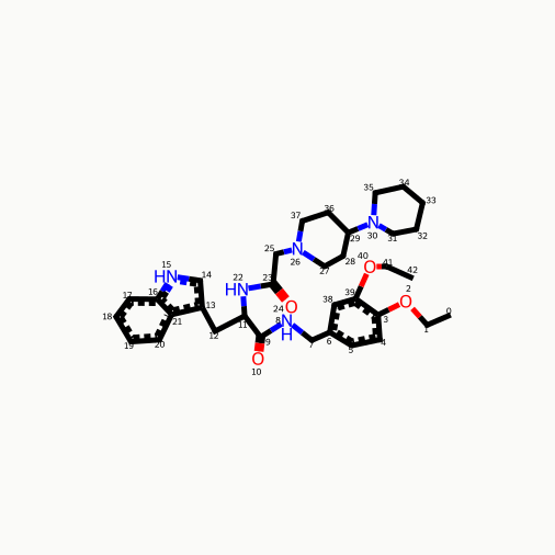 CCOc1ccc(CNC(=O)C(Cc2c[nH]c3ccccc23)NC(=O)CN2CCC(N3CCCCC3)CC2)cc1OCC